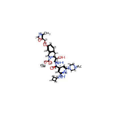 CC(=O)N1CCN(c2cc(C(=O)NC[C@@H](O)[C@@H]3Cc4ccc(OCc5ocnc5C)cc4CN3C(=O)OC(C)(C)C)cc(NC3CCC3)n2)CC1